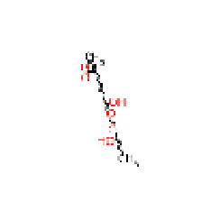 CCCCC(O)COCCOCC(O)CCCC/C=C/C1=C[C@H](C)OC1=O